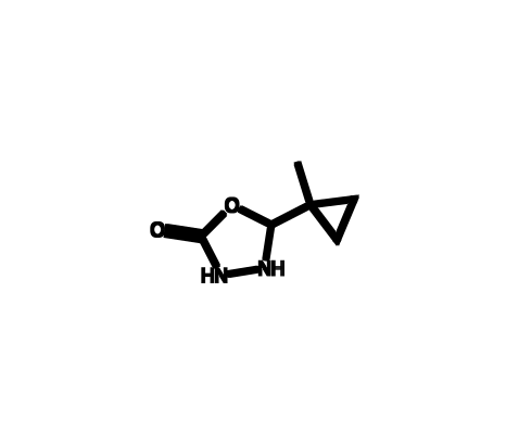 CC1(C2NNC(=O)O2)CC1